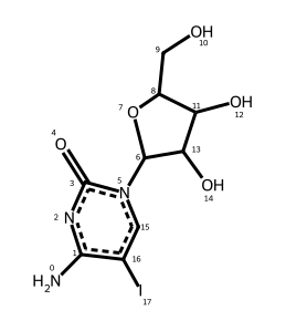 Nc1nc(=O)n(C2OC(CO)C(O)C2O)cc1I